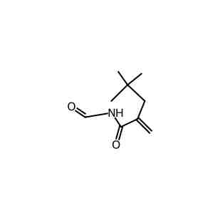 C=C(CC(C)(C)C)C(=O)NC=O